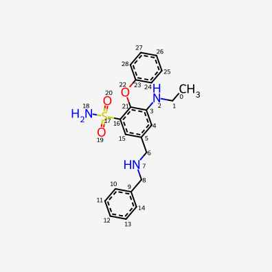 CCNc1cc(CNCc2ccccc2)cc(S(N)(=O)=O)c1Oc1ccccc1